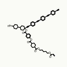 C#Cc1ccc(C#Cc2ccc(C#Cc3ccc(C#CC4(OC(=O)c5ccc(OC(=O)C6CCC(C(=O)OCCCCCOC(=O)C=C)CC6)cc5)CCC(C5CCC(CCC)CC5)CC4)cc3)cc2)cc1